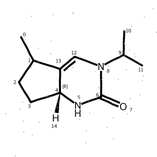 CC1CC[C@H]2NC(=O)N(C(C)C)C=C12